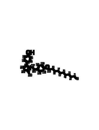 CCCCCCCCCCCOc1ccc(CCn2c(C)ccc2-c2ccc(O)cc2)cc1